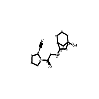 N#C[C@@H]1CCCN1C(=O)CNC1CC2(O)CCCC1C2